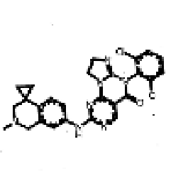 CN1Cc2cc(Nc3ncc4c(n3)N3CCN=C3N(c3c(Cl)cccc3Cl)C4=O)ccc2C2(CC2)C1